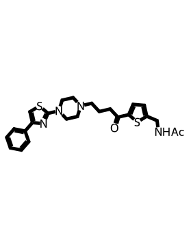 CC(=O)NCc1ccc(C(=O)CCCN2CCN(c3nc(-c4ccccc4)cs3)CC2)s1